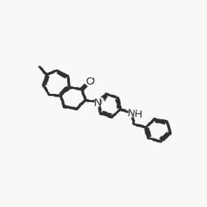 CC1=CCC2=C(C=C1)C(=O)C([n+]1ccc(NCc3ccccc3)cc1)CC2